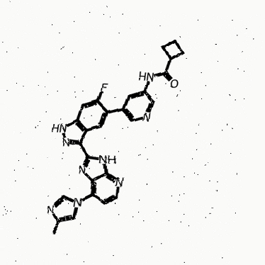 Cc1cn(-c2ccnc3[nH]c(-c4n[nH]c5cc(F)c(-c6cncc(NC(=O)C7CCC7)c6)cc45)nc23)cn1